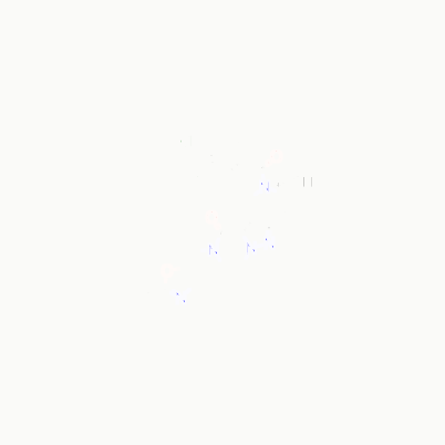 Cc1ncc(CN2CCn3nc4c(c3C2=O)CN(C(=O)c2ccc(Cl)c(Cl)c2)[C@H](C)C4)o1